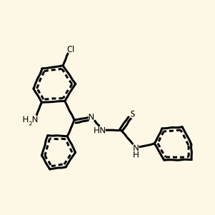 Nc1ccc(Cl)cc1C(=NNC(=S)Nc1ccccc1)c1ccccc1